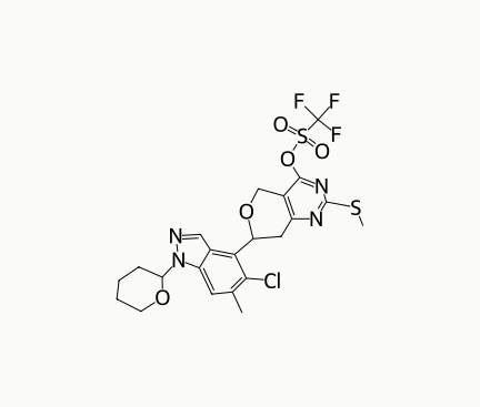 CSc1nc2c(c(OS(=O)(=O)C(F)(F)F)n1)COC(c1c(Cl)c(C)cc3c1cnn3C1CCCCO1)C2